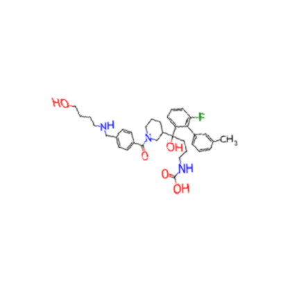 Cc1cccc(-c2c(F)cccc2C(O)(CCCNC(=O)O)C2CCCN(C(=O)c3ccc(CNCCCCO)cc3)C2)c1